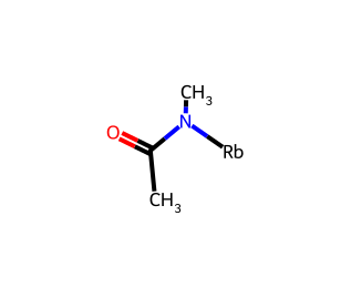 CC(=O)[N](C)[Rb]